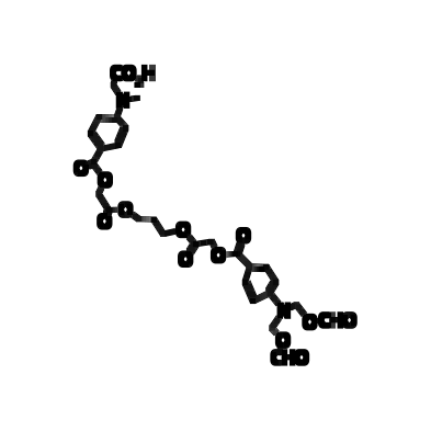 CN(CC(=O)O)c1ccc(C(=O)OCC(=O)OCCCOC(=O)COC(=O)c2ccc(N(COC=O)COC=O)cc2)cc1